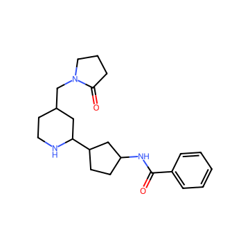 O=C(NC1CCC(C2CC(CN3CCCC3=O)CCN2)C1)c1ccccc1